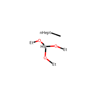 CCCCCCCC.CCO[SiH](OCC)OCC